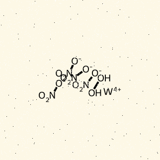 O=[N+]([O-])[O-].O=[N+]([O-])[O-].O=[N+]([O-])[O-].O=[N+]([O-])[O-].OO.[W+4]